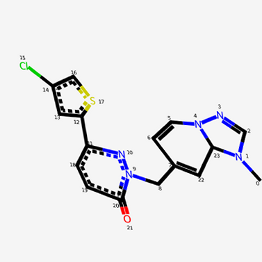 CN1C=NN2C=CC(Cn3nc(-c4cc(Cl)cs4)ccc3=O)=CC12